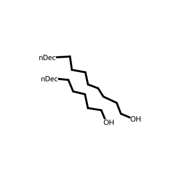 CCCCCCCCCCCCCCCCCCO.CCCCCCCCCCCCCCCO